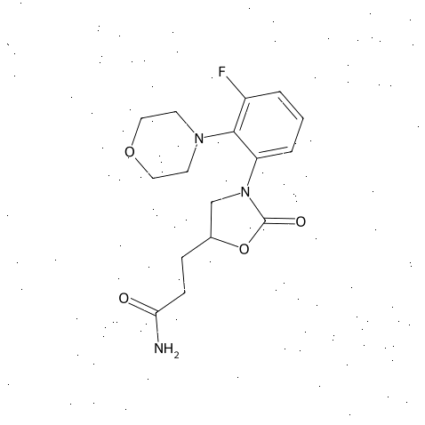 NC(=O)CCC1CN(c2cccc(F)c2N2CCOCC2)C(=O)O1